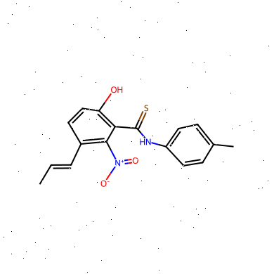 CC=Cc1ccc(O)c(C(=S)Nc2ccc(C)cc2)c1[N+](=O)[O-]